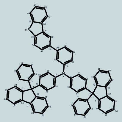 c1ccc(C2(c3ccc(N(c4ccc(C5(c6ccccc6)c6ccccc6-c6ccccc65)cc4)c4cccc(-c5ccc6sc7ccccc7c6c5)c4)cc3)c3ccccc3-c3ccccc32)cc1